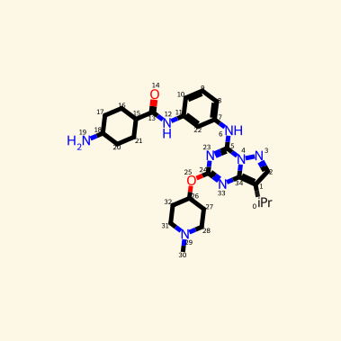 CC(C)c1cnn2c(Nc3cccc(NC(=O)C4CCC(N)CC4)c3)nc(OC3CCN(C)CC3)nc12